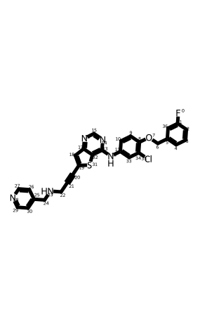 Fc1cccc(COc2ccc(Nc3ncnc4cc(C#CCNCc5ccncc5)sc34)cc2Cl)c1